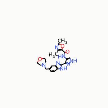 Cc1nc(C)c(C(=O)Nc2c[nH]nc2-c2nc3cc(CN4CCOCC4)ccc3[nH]2)o1